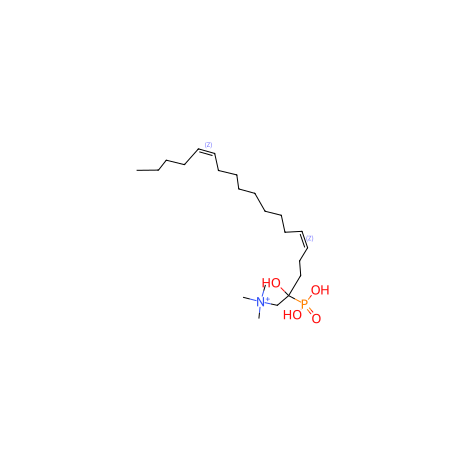 CCCC/C=C\CCCCCCC/C=C\CCC(O)(C[N+](C)(C)C)P(=O)(O)O